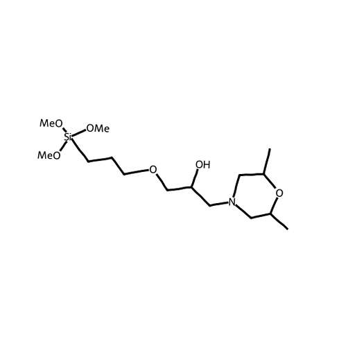 CO[Si](CCCOCC(O)CN1CC(C)OC(C)C1)(OC)OC